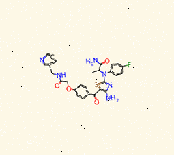 CC(C(N)=O)N(c1ccc(F)cc1)c1nc(N)c(C(=O)c2ccc(OCC(=O)NCc3cccnc3)cc2)s1